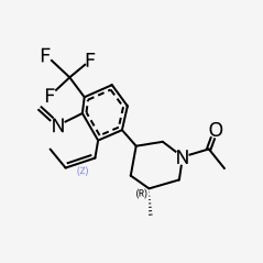 C=Nc1c(C(F)(F)F)ccc(C2C[C@@H](C)CN(C(C)=O)C2)c1/C=C\C